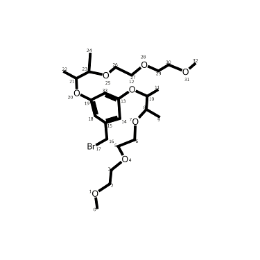 COCCOCCOC(C)C(C)Oc1cc(CBr)cc(OC(C)C(C)OCCOCCOC)c1